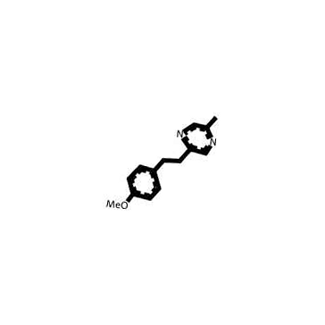 COc1ccc(CCc2cnc(C)cn2)cc1